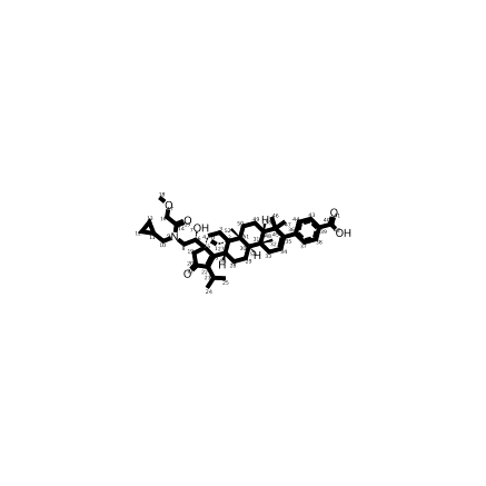 CC[C@@]12CC[C@@]3([C@@H](O)CN(CC4CC4)C(=O)COC)CC(=O)C(C(C)C)=C3[C@H]1CC[C@@H]1[C@@]3(C)CC=C(c4ccc(C(=O)O)cc4)C(C)(C)[C@H]3CC[C@]12C